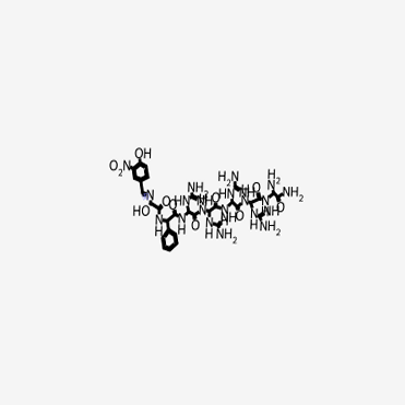 N=C(N)NC(NC(=O)C(NC(=N)N)NC(=O)C(NC(=N)N)NC(=O)C(NC(=N)N)NC(=O)C(NC(=O)C(O)/N=C/c1ccc(O)c([N+](=O)[O-])c1)c1ccccc1)C(=O)NC(N)C(N)=O